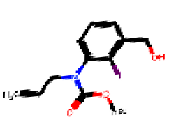 C=CCN(C(=O)OCCCC)c1cccc(CO)c1I